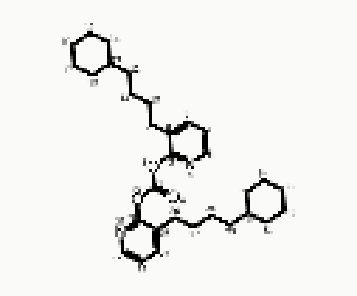 O=C(Oc1ncccc1CCCCC1CCCCC1)Oc1ncccc1CCCCC1CCCCC1